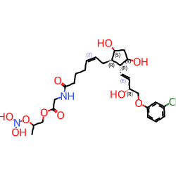 CC(COC(=O)CNC(=O)CCC/C=C\C[C@@H]1[C@@H](/C=C/[C@@H](O)COc2cccc(Cl)c2)[C@H](O)C[C@@H]1O)ON(O)O